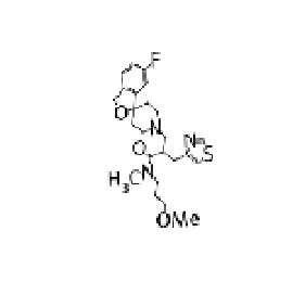 COCCCN(C)C(=O)C(Cc1cscn1)CN1CCC2(CC1)OCc1ccc(F)cc12